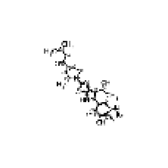 Cc1c(-c2[nH]c3sc(N4CCN(C(=O)CN(C)C)C[C@@H]4C)nc3c2C(C)C)cn2ncnc2c1C